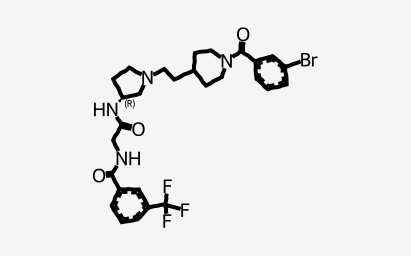 O=C(CNC(=O)c1cccc(C(F)(F)F)c1)N[C@@H]1CCN(CCC2CCN(C(=O)c3cccc(Br)c3)CC2)C1